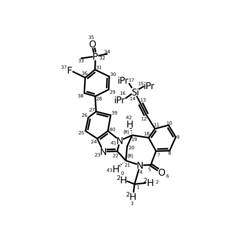 [2H]C([2H])([2H])N1C(=O)c2cccc(C#C[Si](C(C)C)(C(C)C)C(C)C)c2[C@H]2C[C@@H]1c1nc3ccc(-c4ccc(P(C)(C)=O)c(F)c4)cc3n12